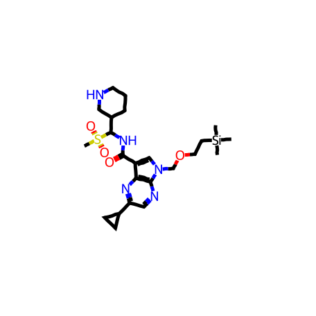 C[Si](C)(C)CCOCn1cc(C(=O)NC(C2CCCNC2)S(C)(=O)=O)c2nc(C3CC3)cnc21